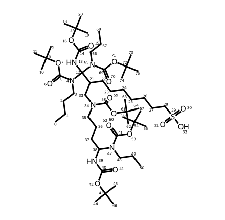 CCCCN(C(=O)OC(C)(C)C)C(NC(=O)OC(C)(C)C)(C(CCCCCCCS(=O)(=O)O)CN(CCCC(NC(=O)OC(C)(C)C)N(CCC)C(=O)OC(C)(C)C)C(=O)OC(C)(C)C)N(CCC)C(=O)OC(C)(C)C